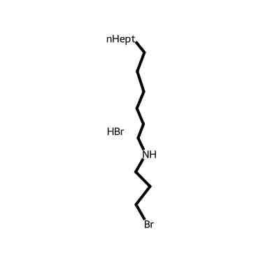 Br.CCCCCCCCCCCCCNCCCBr